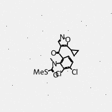 CSC(=O)N(C)c1c(C(=O)c2cnoc2C2CC2)ccc(Cl)c1Cl